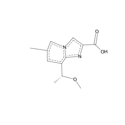 CO[C@H](C)c1cc(C)cn2cc(C(=O)O)nc12